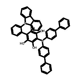 Oc1c(O)c(N(c2ccc(-c3ccccc3)cc2)c2ccc(-c3ccccc3)cc2)c(O)c(O)c1-c1ccccc1-n1c2ccccc2c2ccccc21